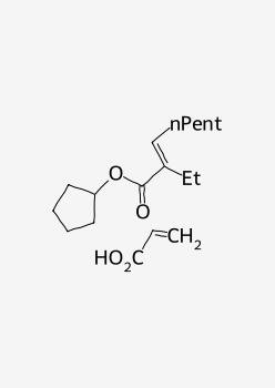 C=CC(=O)O.CCCCCC=C(CC)C(=O)OC1CCCC1